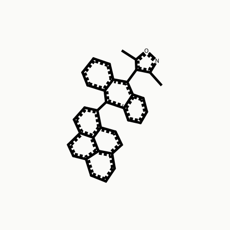 Cc1noc(C)c1-c1c2ccccc2c(-c2ccc3ccc4cccc5ccc2c3c45)c2ccccc12